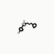 Clc1ccc(-c2n[nH]c([CH]CCc3ccccc3)n2)cc1